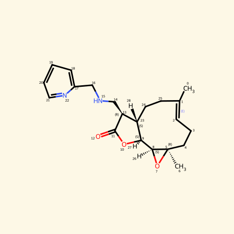 C/C1=C\CC[C@@]2(C)O[C@H]2[C@H]2OC(=O)[C@@H](CNCc3ccccn3)[C@@H]2CC1